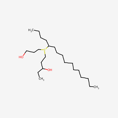 CCCCCCCCCCCC(CCCC)[S+](CCCO)CCC(O)CC